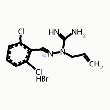 Br.C=CCN(/N=C/c1c(Cl)cccc1Cl)C(=N)N